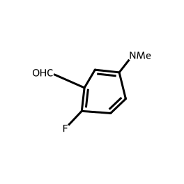 CNc1ccc(F)c(C=O)c1